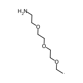 [CH2]COCCOCCOCCN